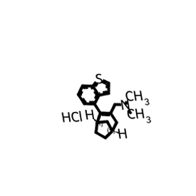 CN(C)CC1=C(c2cccc3sccc23)[C@@H]2CC[C@H](C1)C2.Cl